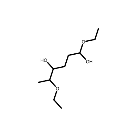 CCOC(O)CCC(O)C(C)OCC